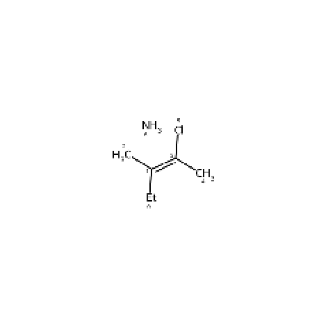 CC/C(C)=C(\C)Cl.N